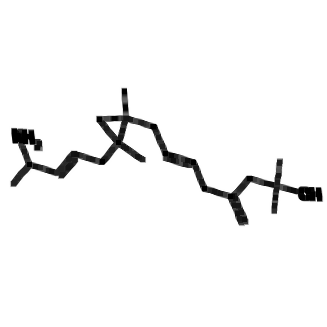 C=C(C/C=C/CC1(C)CC1(C)C/C=C/C(C)N)CC(C)(C)O